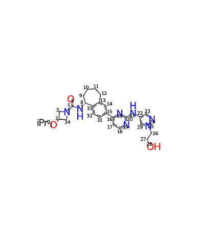 CC(C)OC1CN(C(=O)N[C@@H]2CCCCc3cc(-c4ccnc(Nc5cnn(CCO)c5)n4)ccc32)C1